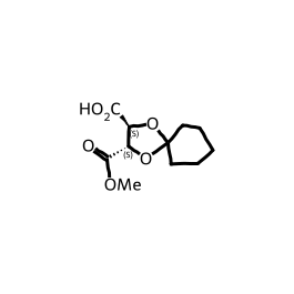 COC(=O)[C@H]1OC2(CCCCC2)O[C@@H]1C(=O)O